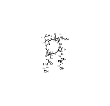 COC(C)C1=C(C)c2cc3[nH]c(cc4nc(cc5[nH]c(cc1n2)c(C)c5C(C)OC)C(C)=C4CCC(=O)NCCO)c(CCC(=O)NCCO)c3C